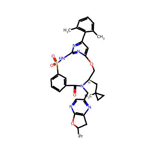 Cc1cccc(C)c1-c1cc2nc(n1)NS(=O)(=O)c1cccc(c1)C(=O)N(Cc1cnc3c(n1)CC(C(C)C)O3)[C@H](CC1(C)CC1)CO2